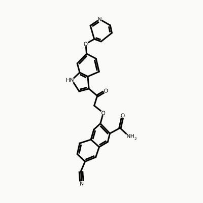 N#Cc1ccc2cc(OCC(=O)c3c[nH]c4cc(Oc5cccnc5)ccc34)c(C(N)=O)cc2c1